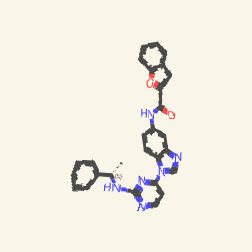 C[C@H](Nc1nccc(-n2cnc3cc(NC(=O)c4cc5ccccc5o4)ccc32)n1)c1ccccc1